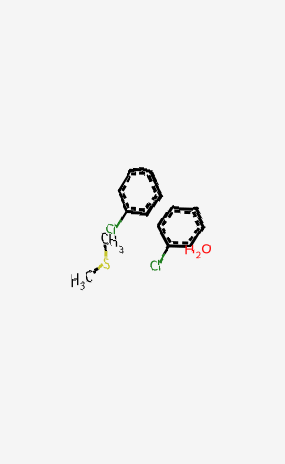 CSC.Clc1ccccc1.Clc1ccccc1.O